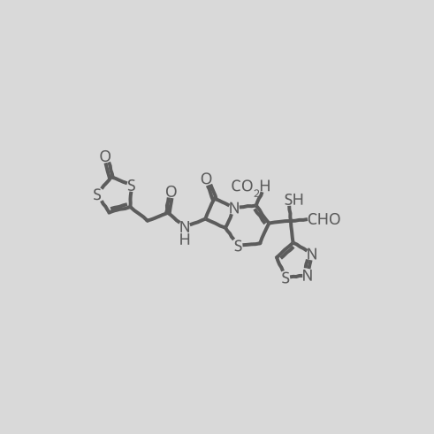 O=CC(S)(C1=C(C(=O)O)N2C(=O)C(NC(=O)Cc3csc(=O)s3)C2SC1)c1csnn1